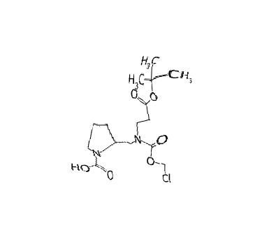 CC(C)(C)OC(=O)CCN(CC1CCCN1C(=O)O)C(=O)OCCl